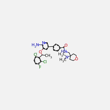 CC(Oc1cc(-c2ccc(C(=O)NCC3(N(C)C)CCOCC3)cc2)cnc1N)c1c(Cl)ccc(F)c1Cl